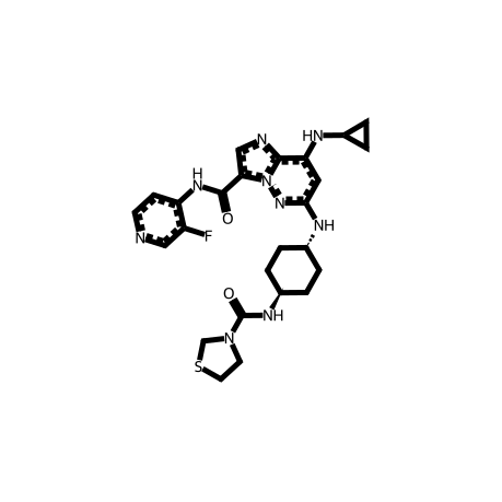 O=C(Nc1ccncc1F)c1cnc2c(NC3CC3)cc(N[C@H]3CC[C@H](NC(=O)N4CCSC4)CC3)nn12